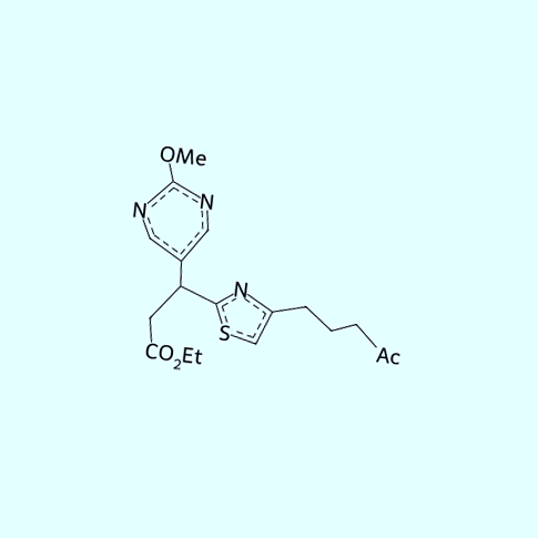 CCOC(=O)CC(c1cnc(OC)nc1)c1nc(CCCC(C)=O)cs1